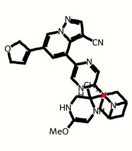 COC1=CNC(C)(CN2C3CC2CN(C2C=NC(c4cc(C5=CCOC5)cn5ncc(C#N)c45)=CN2)C3)CN1